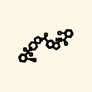 N#Cc1ccccc1S(=O)(=O)N1CCC2(CCN(C(=O)c3ccc4c(c3)C(NC(=O)c3ccccc3Cl)CC4)C2)CC1